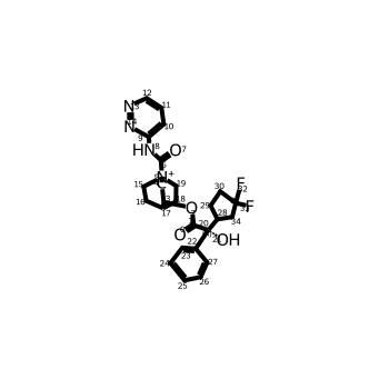 O=C(OC1C[N+]2(C(=O)Nc3cccnn3)CCC1CC2)[C@](O)(c1ccccc1)C1CCC(F)(F)C1